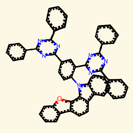 c1ccc(-c2nc(-c3ccccc3)nc(-c3ccc(-n4c5ccccc5c5ccc6c7ccccc7oc6c54)c(-c4nc(-c5ccccc5)nc(-c5ccccc5)n4)c3)n2)cc1